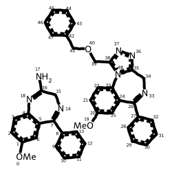 COc1ccc2c(c1)C(c1ccccc1)=NCC(N)=N2.COc1ccc2c(c1)C(c1ccccc1)=NCc1nnc(COCc3ccccc3)n1-2